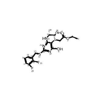 CCOC(=O)CSc1c(O)nc(SCc2cccc(F)c2F)nc1N[C@H](C)CO